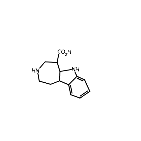 O=C(O)C1CNCCC2c3ccccc3NC12